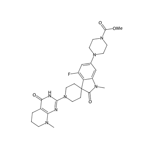 COC(=O)N1CCN(c2cc(F)c3c(c2)N(C)C(=O)C32CCN(c3nc4c(c(=O)[nH]3)CCCN4C)CC2)CC1